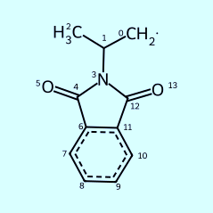 [CH2]C(C)N1C(=O)c2ccccc2C1=O